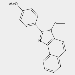 C=Cn1c(-c2ccc(OC)cc2)nc2c3ccccc3ccc21